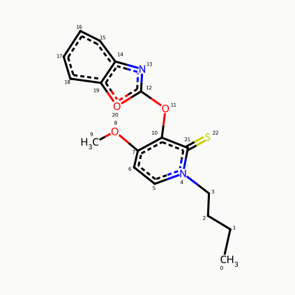 CCCCn1ccc(OC)c(Oc2nc3ccccc3o2)c1=S